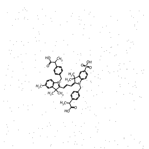 Cc1ccc2c(c1)C(C)(C)C(/C=C/C=C1/N(Cc3ccc(C(C)C(=O)O)cc3)c3ccc(S(=O)(=O)O)cc3C1(C)C)=[N+]2Cc1ccc(C(C)C(=O)O)cc1